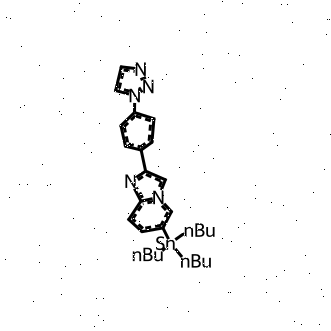 CCC[CH2][Sn]([CH2]CCC)([CH2]CCC)[c]1ccc2nc(-c3ccc(-n4ccnn4)cc3)cn2c1